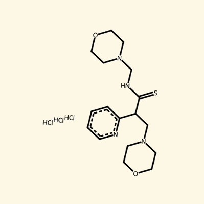 Cl.Cl.Cl.S=C(NCN1CCOCC1)C(CN1CCOCC1)c1ccccn1